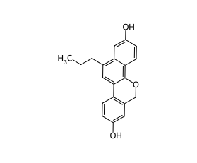 CCCc1cc2c(c3ccc(O)cc13)OCc1cc(O)ccc1-2